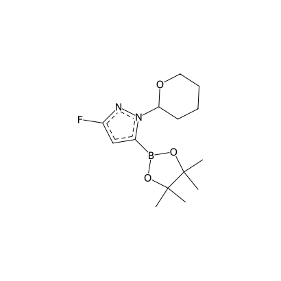 CC1(C)OB(c2cc(F)nn2C2CCCCO2)OC1(C)C